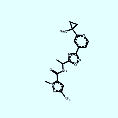 COC1(c2cc(-c3noc(C(C)NC(=O)c4cc(C(F)(F)F)nn4C)n3)ccn2)CC1